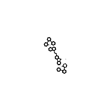 CC1(C)c2cc(/C=C/c3cccc4c(N5c6ccccc6-c6ccccc6-c6ccccc65)cccc34)ccc2-c2ccc(N3C4=C(C=CCC4)c4ccccc4-c4ccccc43)cc21